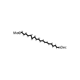 CCCCCCCCCCCCCCCCCCCCCCCCCCCCOC